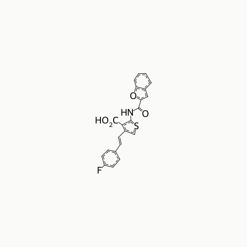 O=C(Nc1scc(/C=C/c2ccc(F)cc2)c1C(=O)O)c1cc2ccccc2o1